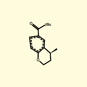 C[C@H]1CCOc2ccc(C(=O)C(C)(C)C)cc21